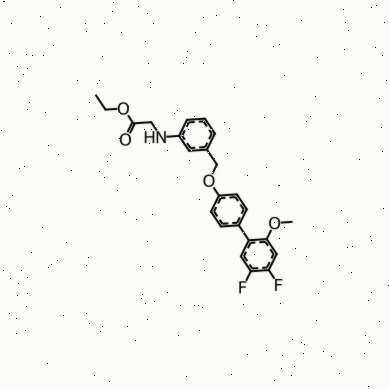 CCOC(=O)CNc1cccc(COc2ccc(-c3cc(F)c(F)cc3OC)cc2)c1